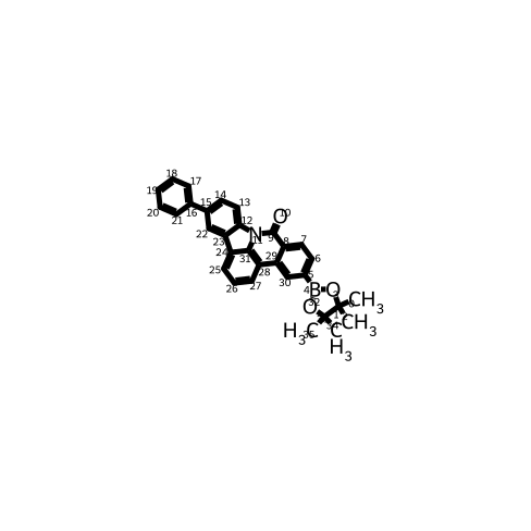 CC1(C)OB(c2ccc3c(=O)n4c5ccc(-c6ccccc6)cc5c5cccc(c3c2)c54)OC1(C)C